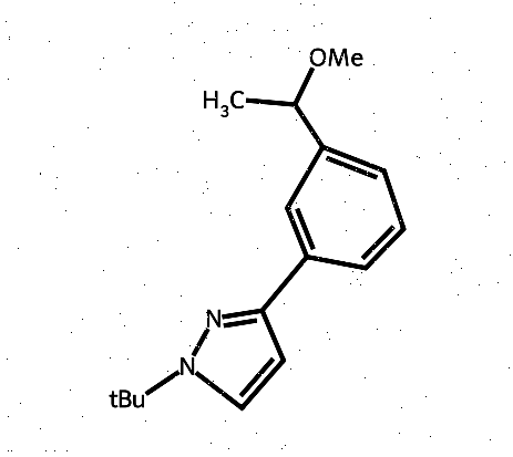 COC(C)c1cccc(-c2ccn(C(C)(C)C)n2)c1